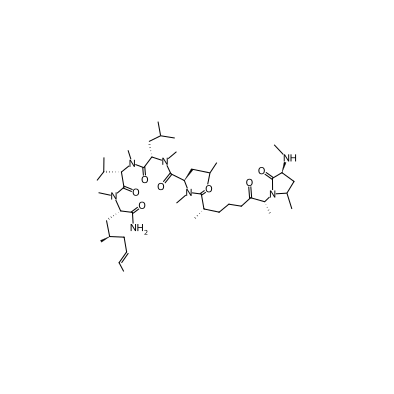 C/C=C/C[C@@H](C)C[C@@H](C(N)=O)N(C)C(=O)[C@H](C(C)C)N(C)C(=O)[C@H](CC(C)C)N(C)C(=O)[C@@H](CC(C)C)N(C)C(=O)[C@@H](C)CCCC(=O)[C@@H](C)N1C(=O)[C@@H](NC)CC1C